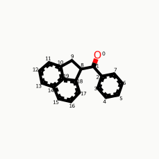 O=C(c1ccccc1)C1Cc2cccc3cccc1c23